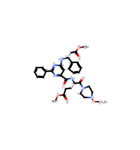 CCOC(=O)ON1CCN(C(=O)[C@H](CCC(=O)OC(C)(C)C)NC(=O)c2cc(N[C@H](CC(=O)OC(C)(C)C)c3ccccc3)nc(-c3ccccc3)n2)CC1